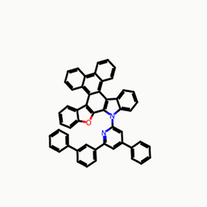 c1ccc(-c2cccc(-c3cc(-c4ccccc4)cc(-n4c5ccccc5c5c6c7ccccc7c7ccccc7c6c6c7ccccc7oc6c54)n3)c2)cc1